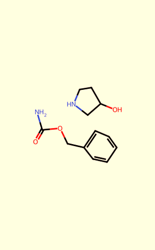 NC(=O)OCc1ccccc1.OC1CCNC1